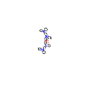 c1ccc(N(c2ccccc2)c2ccc(-n3c4ccccc4c4c5oc6c(ccc7c6c6ccccc6n7-c6ccc(N(c7ccccc7)c7ccccc7)cc6)c5ccc43)cc2)cc1